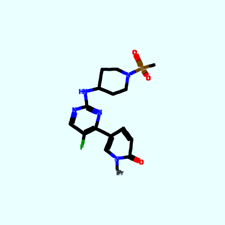 CC(C)n1cc(-c2nc(NC3CCN(S(C)(=O)=O)CC3)ncc2F)ccc1=O